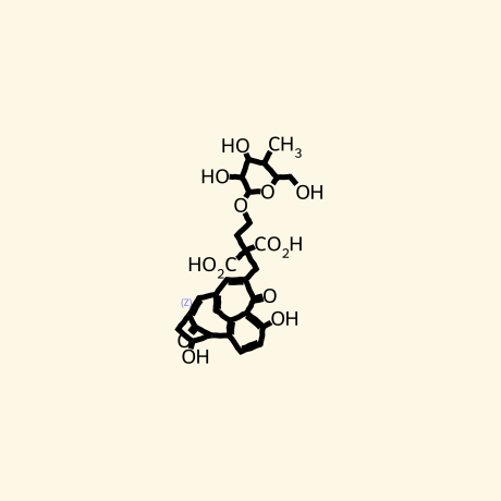 CC1C(CO)OC(OCCC(Cc2cc3cc4c(ccc(O)c4c2=O)C2C(=O)/C(=C\3)CC2O)(C(=O)O)C(=O)O)C(O)C1O